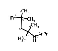 CCCNC(C)(C)CC(C)(C)C(C)C